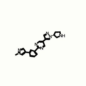 Cn1cc(-c2cccc(-c3ncc(-c4cnn([C@@H]5CCNC5)c4)cn3)c2)cn1